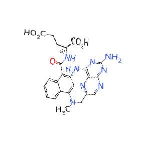 CN(Cc1cnc2nc(N)nc(N)c2n1)c1ccc(C(=O)N[C@@H](CCC(=O)O)C(=O)O)c2ccccc12